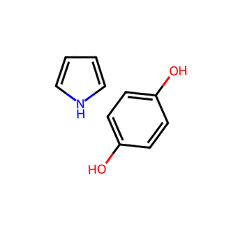 Oc1ccc(O)cc1.c1cc[nH]c1